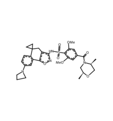 COc1cc(C(=O)N2C[C@H](C)OC[C@@H]2C)cc(OC)c1S(=O)(=O)Nc1noc2c1CC1(CC1)c1ccc(N3CCC3)cc1-2